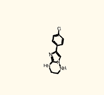 Clc1ccc(-c2cn3c(n2)NCCN3)cc1